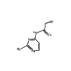 CC(C)CC(=O)Nc1ccnc(C(C)(C)C)n1